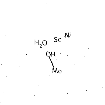 O.[Ni].[OH][Mo].[Sc]